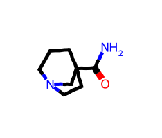 NC(=O)C12CCCN(CC1)C2